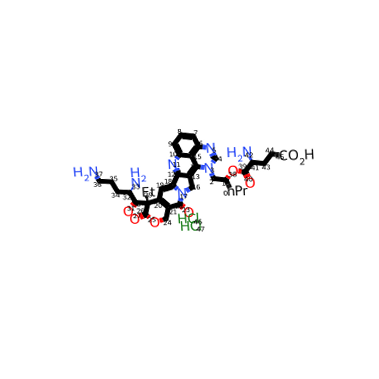 CCCC(CN1C=Nc2cccc3nc4c(c1c23)Cn1c-4cc2c(c1=O)COC(=O)[C@]2(CC)C(=O)[C@@H](N)CCCN)OC(=O)[C@@H](N)CCC(=O)O.Cl.Cl